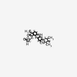 C[C@@H]1CN(c2nc(Nc3ccc4c(c3)n(C[C@H]3CNC(=O)O3)c(=O)n4C)c(F)cc2C#N)C[C@H](C)C1F